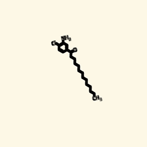 CCCCCCCCCCCCCC(=O)c1ccc(Cl)c(N)c1